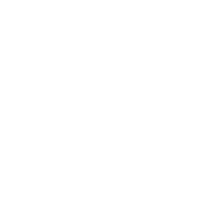 COC(=O)[C@H](C)N1CCN2c3ccc(/C=C(\C)c4c(F)cccc4Cl)cc3N(S(=O)(=O)c3cccc(C(F)(F)F)c3)C[C@@H]2C1